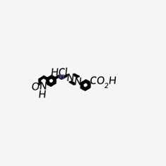 Cl.O=C1CCc2cc(/C=C/CN3CCN(c4cccc(C(=O)O)c4)CC3)ccc2N1